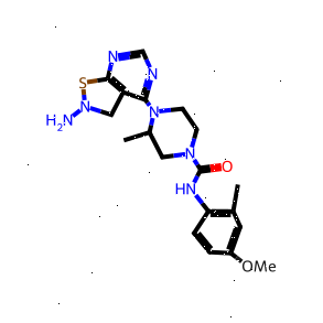 COc1ccc(NC(=O)N2CCN(c3ncnc4c3CN(N)S4)C(C)C2)c(C)c1